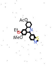 CCOc1cc2c(cc1OC)C(c1ccc3ncsc3c1)=NC1CCC(OC(C)=O)CC21